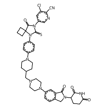 N#Cc1ncc(N2C(=O)C3(CCC3)N(c3ccc(N4CCC(CN5CCN(c6ccc7c(c6)C(=O)N(C6CCC(=O)NC6=O)C7)CC5)CC4)cc3)C2=S)cc1Cl